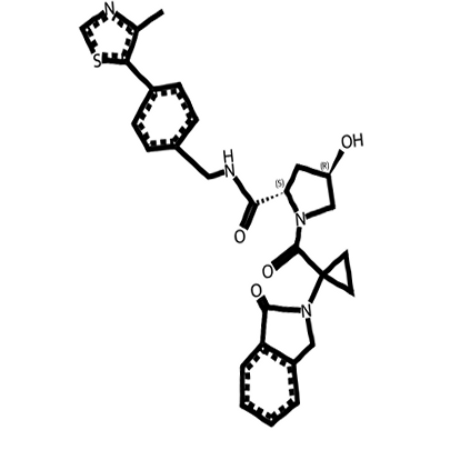 Cc1ncsc1-c1ccc(CNC(=O)[C@@H]2C[C@@H](O)CN2C(=O)C2(N3Cc4ccccc4C3=O)CC2)cc1